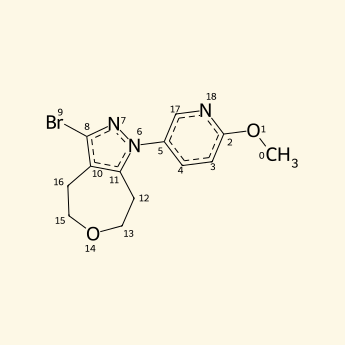 COc1ccc(-n2nc(Br)c3c2CCOCC3)cn1